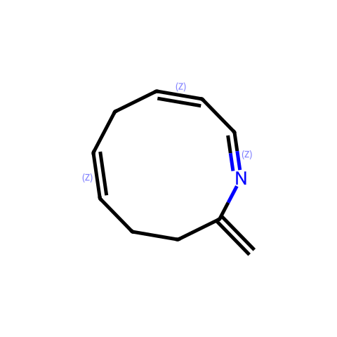 C=C1CC/C=C\C/C=C\C=N/1